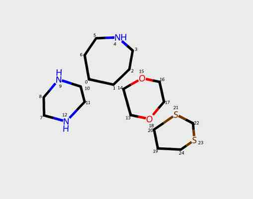 C1CCCNCC1.C1CNCCN1.C1COCCO1.C1CSCSC1